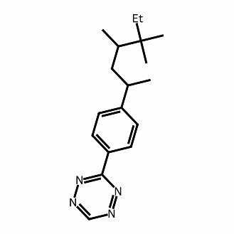 CCC(C)(C)C(C)CC(C)c1ccc(-c2nncnn2)cc1